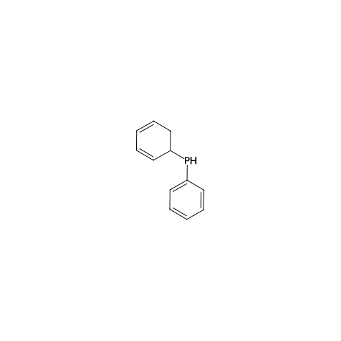 C1=CCC(Pc2ccccc2)C=C1